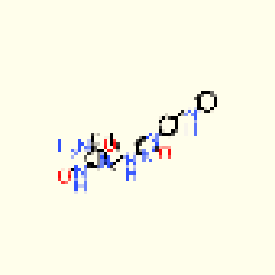 CC(C)(N)C(=O)N(CCNC=O)CCNc1ccn(C2CCC(CNC3CCCCC3)CC2)c(=O)n1